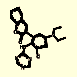 CCN(CC)c1cc(Cl)c(Nc2ncncn2)c(-c2cc3ccccc3oc2=O)c1